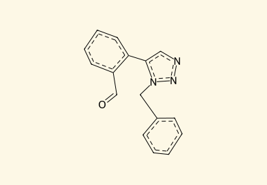 O=Cc1ccccc1-c1cnnn1Cc1ccccc1